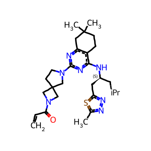 C=CC(=O)N1CC2(CCN(c3nc4c(c(N[C@H](Cc5nnc(C)s5)CC(C)C)n3)CCC(C)(C)C4)C2)C1